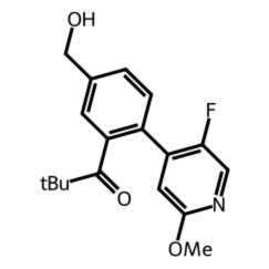 COc1cc(-c2ccc(CO)cc2C(=O)C(C)(C)C)c(F)cn1